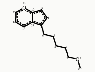 [CH2]OCCCCCc1ccc2occcc1-2